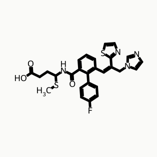 CSC(CCC(=O)O)NC(=O)c1cccc(/C=C(/Cn2ccnc2)c2nccs2)c1-c1ccc(F)cc1